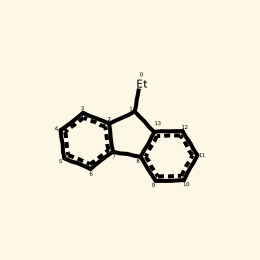 [CH2]CC1c2ccccc2-c2ccccc21